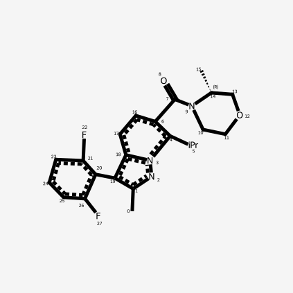 Cc1nn2c(C(C)C)c(C(=O)N3CCOC[C@H]3C)ccc2c1-c1c(F)cccc1F